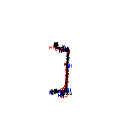 Cc1ncsc1-c1ccc(CNC(=O)[C@@H]2C[C@@H](O)CN2C(=O)[C@@H](NC(=O)COCCOCCOCCOCCOCCNC(=O)CCCCCCCCOc2ccnc(N3C[C@H]4C[C@@H]3CN4/C=C/C(=O)c3ccccc3O)c2)C(C)(C)C)cc1